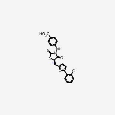 O=C(O)c1ccc(NN2C(=O)/C(=C\c3ccc(-c4ccccc4Cl)o3)SC2=S)cc1